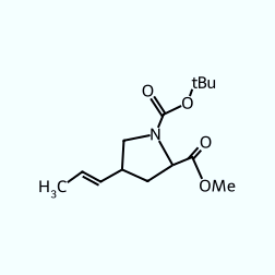 CC=CC1CC(C(=O)OC)N(C(=O)OC(C)(C)C)C1